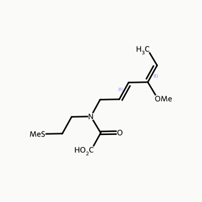 C/C=C(\C=C\CN(CCSC)C(=O)C(=O)O)OC